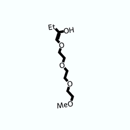 CCC(O)=COCCOCCOCCOC